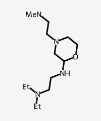 CCN(CC)CCNC1CN(CCNC)CCO1